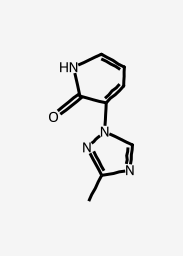 Cc1ncn(-c2ccc[nH]c2=O)n1